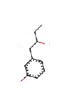 CCC(O)[C@@H](O)c1cccc(I)c1